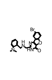 CN(C)c1ccccc1CNCc1nc2c(oc3ccc(Br)cc32)c(=O)[nH]1